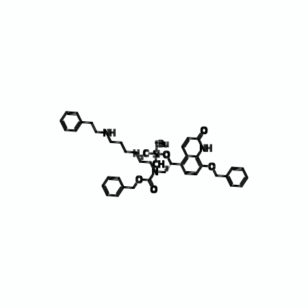 CC(C)(C)[Si](C)(C)O[C@@H](CN(CCCCCCNCCc1ccccc1)C(=O)OCc1ccccc1)c1ccc(OCc2ccccc2)c2[nH]c(=O)ccc12